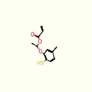 C=CC(=O)OC(C)Oc1cc(C)ccc1S